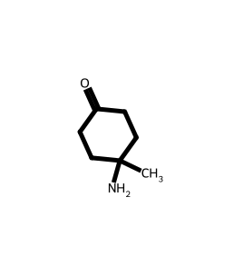 CC1(N)CCC(=O)CC1